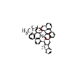 CC1(C)c2ccccc2-c2c(N(c3ccccc3-c3cccc4c3oc3ccccc34)c3ccccc3-c3cccc4cccc(-c5ccccc5)c34)cccc21